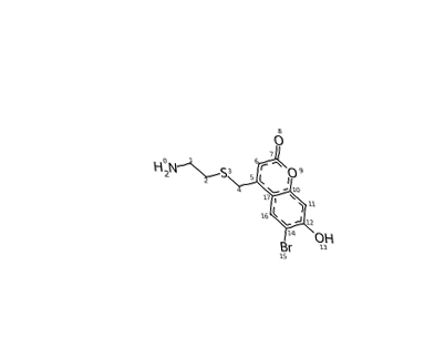 NCCSCc1cc(=O)oc2cc(O)c(Br)cc12